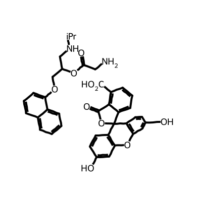 CC(C)NCC(COc1cccc2ccccc12)OC(=O)CN.O=C(O)c1cccc2c1C(=O)OC21c2ccc(O)cc2Oc2cc(O)ccc21